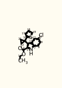 CCOC(=O)c1[nH]c2ccc(Cl)cc2c1C1(c2cccs2)CC1